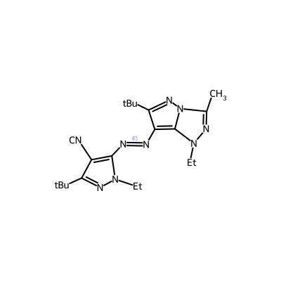 [C-]#[N+]c1c(C(C)(C)C)nn(CC)c1/N=N/c1c(C(C)(C)C)nn2c(C)nn(CC)c12